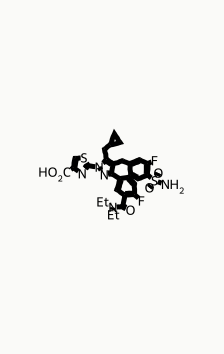 CCN(CC)C(=O)c1cc(-c2nn(-c3nc(C(=O)O)cs3)c(CC3CC3)c2Cc2ccc(S(N)(=O)=O)c(F)c2)ccc1F